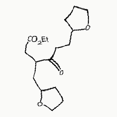 CCOC(=O)CC(CC1CCCO1)C(=O)CCC1CCCO1